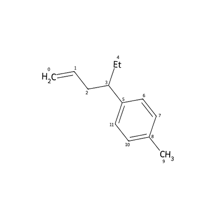 C=CCC(CC)c1ccc(C)cc1